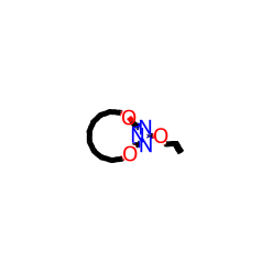 C=CCOc1nc2nc(n1)OCCCCCCCCCCO2